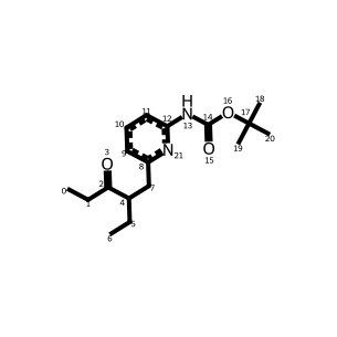 CCC(=O)C(CC)Cc1cccc(NC(=O)OC(C)(C)C)n1